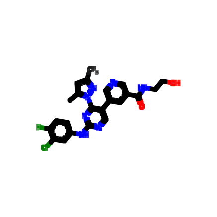 Cc1cc(C(F)(F)F)nn1-c1nc(Nc2ccc(F)c(Cl)c2)ncc1-c1cncc(C(=O)NCCO)c1